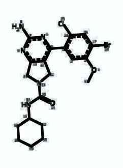 COc1cc(-c2nc(N)nc3c2CN(C(=O)NC2CCCCC2)C3)c(Cl)cc1Br